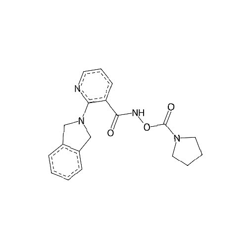 O=C(NOC(=O)N1CCCC1)c1cccnc1N1Cc2ccccc2C1